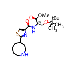 COC(=O)[C@H](CO[Si](C)(C)C(C)(C)C)NC(=O)c1csc(C2CCCCNCC2)n1